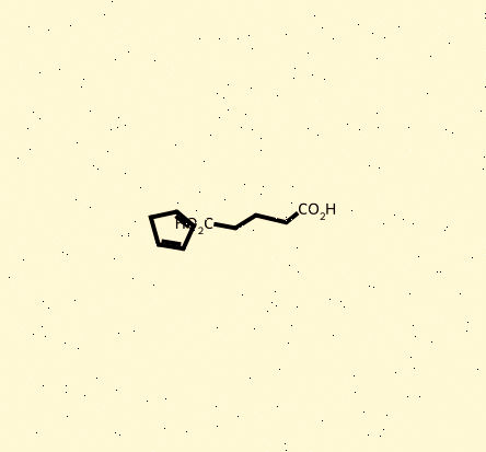 C1=CCC=C1.O=C(O)CCCC(=O)O